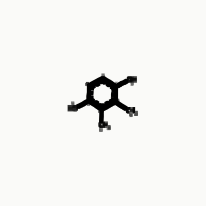 Cc1c(O)[c]cc(O)c1C